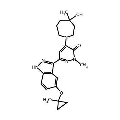 Cn1nc(-c2n[nH]c3ccc(OC4(C)CC4)cc23)cc(N2CCCC(C)(O)CC2)c1=O